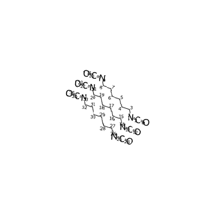 O=C=NCCCCCCN=C=O.O=C=NCCCCCCN=C=O.O=C=NCCCCCCN=C=O